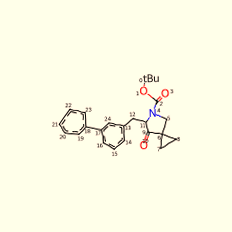 CC(C)(C)OC(=O)N1CC2(CC2)C(=O)C1Cc1cccc(-c2ccccc2)c1